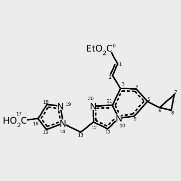 CCOC(=O)C=Cc1cc(C2CC2)cn2cc(Cn3cc(C(=O)O)cn3)nc12